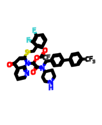 O=C(C(OC(=O)C(F)(F)F)n1c(SCc2cccc(F)c2F)cc(=O)c2cccnc21)N(Cc1ccc(-c2ccc(C(F)(F)F)cc2)cc1)C1CCNCC1